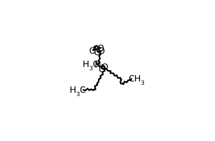 CCCCC/C=C\C/C=C\CCCCCCCCC1(CCCCCCC/C=C/C/C=C\CCCCC)OC[C@H](CN(C)CCCCCC(=O)ON2C(=O)CCC2=O)O1